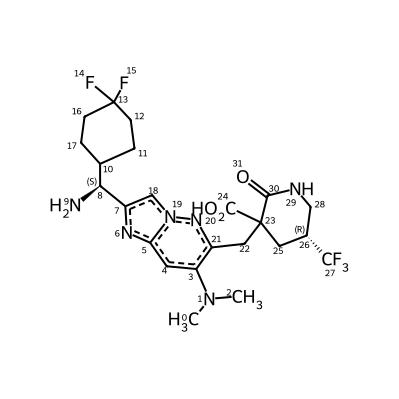 CN(C)c1cc2nc([C@@H](N)C3CCC(F)(F)CC3)cn2nc1CC1(C(=O)O)C[C@@H](C(F)(F)F)CNC1=O